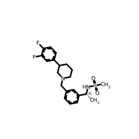 C[C@@H](NS(C)(=O)=O)c1cccc(CN2CCCC(c3ccc(F)c(F)c3)C2)c1